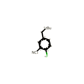 CC(C)(C)Cc1ccc(F)c(C#N)c1